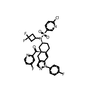 O=C(c1cc(F)ccn1)[C@]12Cc3cnn(-c4ccc(F)cc4)c3C=C1CC[C@H](N(C1CC(F)(F)C1)S(=O)(=O)c1ccc(Cl)nc1)C2